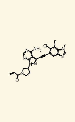 C=CC(=O)N1CCC(n2nc(C#Cc3cc4ncn(C)c4c(F)c3Cl)c3c(N)ncnc32)C1